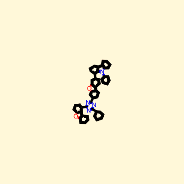 c1ccc(-c2nc(-c3ccc4c(c3)oc3cc(-c5cccc6c7ccccc7n(-c7ccccc7)c56)ccc34)nc(-c3cccc4oc5ccccc5c34)n2)cc1